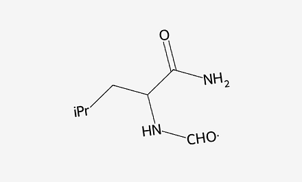 CC(C)CC(N[C]=O)C(N)=O